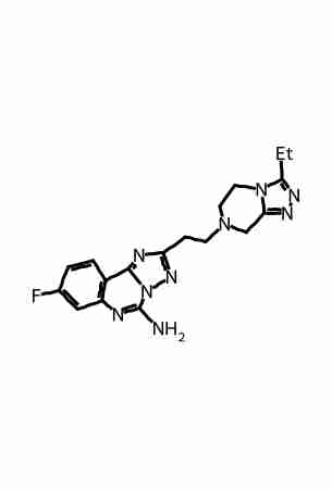 CCc1nnc2n1CCN(CCc1nc3c4ccc(F)cc4nc(N)n3n1)C2